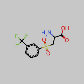 NC(CS(=O)(=O)c1cccc(C(F)(F)F)c1)C(=O)O